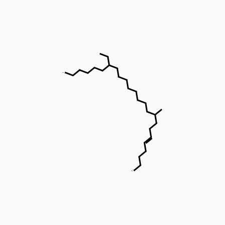 [CH2]CCC/C=C/CCC(C)CCCCCCCCC(CC)CCCCC[CH2]